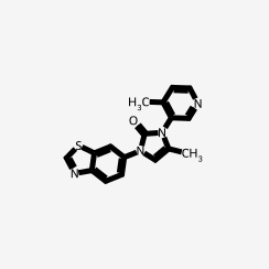 Cc1ccncc1-n1c(C)cn(-c2ccc3ncsc3c2)c1=O